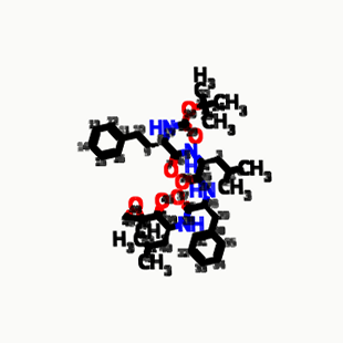 CC(C)C[C@H](NC(=O)[C@H](CCc1ccccc1)NC(=O)OC(C)(C)C)C(=O)N[C@@H](Cc1ccccc1)C(=O)N[C@@H](CC(C)C)C(=O)C1(C)CO1